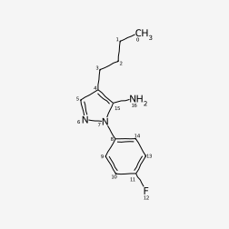 CCCCc1cnn(-c2ccc(F)cc2)c1N